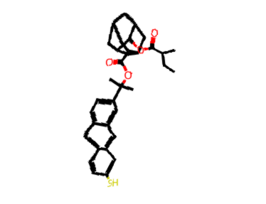 CCC(C)C(=O)OC1C2CC3CC1CC(C2)C3C(=O)OC(C)(C)c1ccc2cc3ccc(S)cc3cc2c1